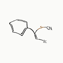 CC(=O)C=C(SC#N)c1ccccc1